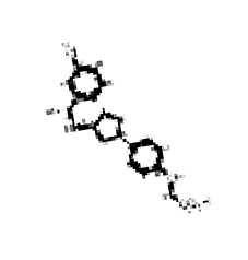 C[C@@H](NC1CC[C@@H](c2ccc(OCC(=O)O)cc2)C1)c1cccc(Cl)c1